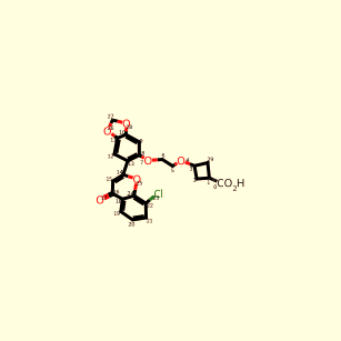 O=C(O)C1CC(OCCOc2cc3c(cc2-c2cc(=O)c4cccc(Cl)c4o2)OCO3)C1